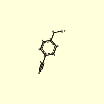 N#Cc1ccc(CI)cc1